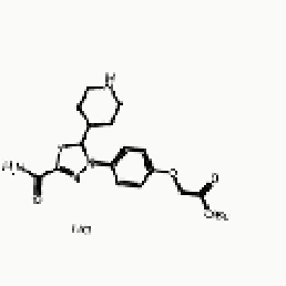 CC(C)COC(=O)COc1ccc(N2N=C(C(N)=O)SC2C2CCNCC2)cc1.Cl